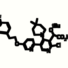 CC1(C)CCN(c2c(-c3ccc(OCCc4ccc(F)cc4)cn3)cnc(Cl)c2C(OC(C)(C)C)C(=O)O)CC1